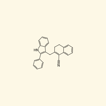 N#CC1=C(Cc2c(-c3ccccc3)[nH]c3ccccc23)CCc2ccccc21